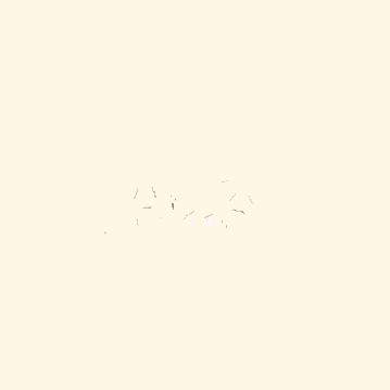 CCCOC(=O)c1cccc2c1C(C)(C)C(/C=C/C=C1/N(CCCS(=O)(=O)O)c3cc(S(=O)(=O)O)cc(C(=O)OCCCS(=O)(=O)O)c3C1(C)C)=[N+]2CCCS(=O)(=O)O